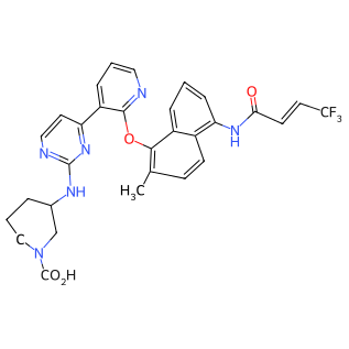 Cc1ccc2c(NC(=O)C=CC(F)(F)F)cccc2c1Oc1ncccc1-c1ccnc(NC2CCCN(C(=O)O)C2)n1